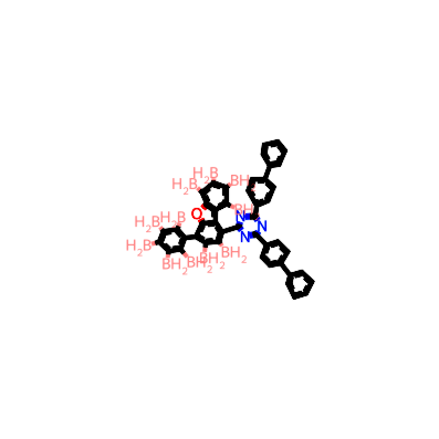 Bc1c(B)c(B)c(-c2c(B)c(B)c(-c3nc(-c4ccc(-c5ccccc5)cc4)nc(-c4ccc(-c5ccccc5)cc4)n3)c3c2oc2c(B)c(B)c(B)c(B)c23)c(B)c1B